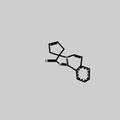 O=C1N=C2c3ccccc3C=CN2C12CC=CC2